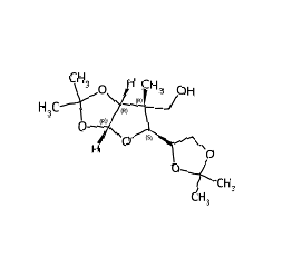 CC1(C)OCC([C@H]2O[C@@H]3OC(C)(C)O[C@@H]3[C@]2(C)CO)O1